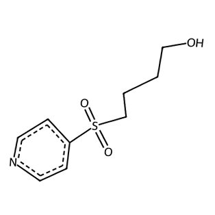 O=S(=O)(CCCCO)c1ccncc1